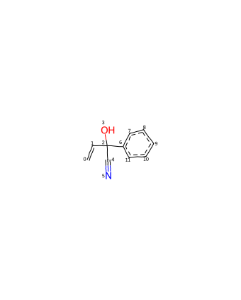 C=CC(O)(C#N)c1ccccc1